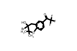 CC1(C)Oc2ccc(C(=O)C(F)(F)F)cc2CC1(O)Br